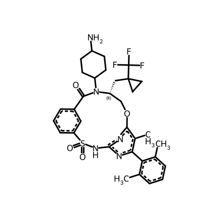 Cc1cccc(C)c1-c1nc2nc(c1C)OC[C@@H](CC1(C(F)(F)F)CC1)N(C1CCC(N)CC1)C(=O)c1cccc(c1)S(=O)(=O)N2